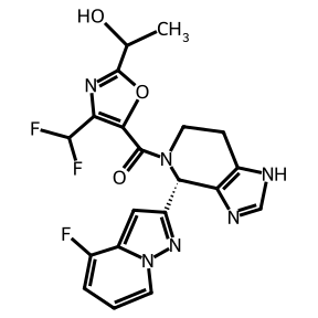 CC(O)c1nc(C(F)F)c(C(=O)N2CCc3[nH]cnc3[C@@H]2c2cc3c(F)cccn3n2)o1